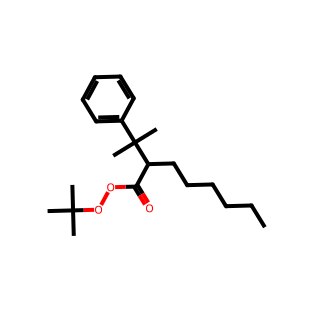 CCCCCCC(C(=O)OOC(C)(C)C)C(C)(C)c1ccccc1